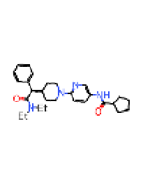 CCN(CC)C(=O)C(c1ccccc1)C1CCN(c2ccc(NC(=O)C3CCCC3)cn2)CC1